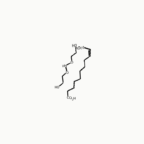 CCCCCCCC/C=C\CCCCCCCC(=O)O.OCCONOCCO